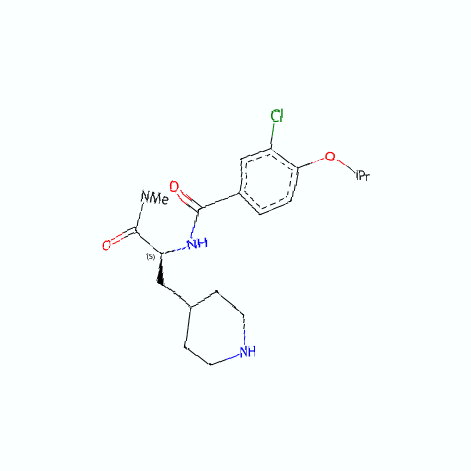 CNC(=O)[C@H](CC1CCNCC1)NC(=O)c1ccc(OC(C)C)c(Cl)c1